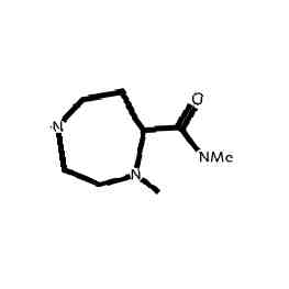 CNC(=O)C1CC[N]CCN1C